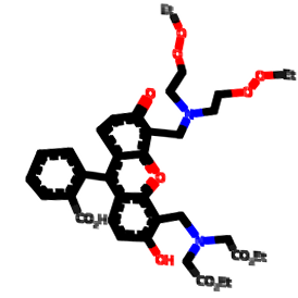 CCOOCCN(CCOOCC)Cc1c2oc3c(CN(CC(=O)OCC)CC(=O)OCC)c(O)ccc3c(-c3ccccc3C(=O)O)c-2ccc1=O